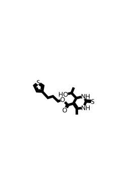 CC1=C(C(=O)OCCCc2ccsc2)C(C(C)O)NC(=S)N1